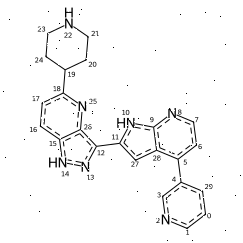 c1cncc(-c2ccnc3[nH]c(-c4n[nH]c5ccc(C6CCNCC6)nc45)cc23)c1